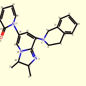 CC1N=C2C(N3CCc4ccccc4C3)=CC(n3ccccc3=O)=CN2C1C